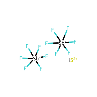 [F][Sb-]([F])([F])([F])([F])[F].[F][Sb-]([F])([F])([F])([F])[F].[S+2]